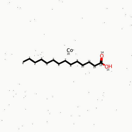 CCCCCCCCCCCCCC(=O)O.[Co]